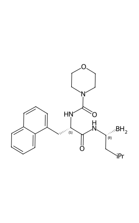 B[C@H](CC(C)C)NC(=O)[C@H](Cc1cccc2ccccc12)NC(=O)N1CCOCC1